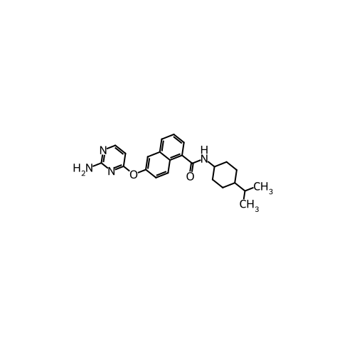 CC(C)C1CCC(NC(=O)c2cccc3cc(Oc4ccnc(N)n4)ccc23)CC1